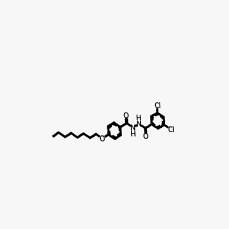 CCCCCCCCOc1ccc(C(=O)NNC(=O)c2cc(Cl)cc(Cl)c2)cc1